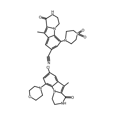 Cc1c2n(c3c(N4CCOCC4)cc(Cl)cc13)CCNC2=O.Cc1c2n(c3c(N4CCS(=O)(=O)CC4)cc(C#N)cc13)CCNC2=O